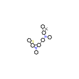 CC1(C)c2ccccc2-c2ccc(N(c3ccccc3)c3ccc(-c4ccc5c(c4)c4c6sc7ccccc7c6ccc4n5-c4ccccc4)cc3)cc21